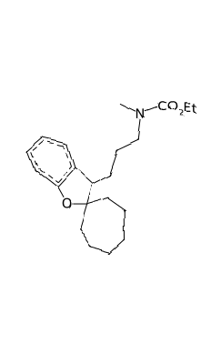 CCOC(=O)N(C)CCCC1c2ccccc2OC12CCCCCC2